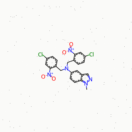 Cn1ncc2cc(N(Cc3ccc(Cl)cc3[N+](=O)[O-])Cc3ccc(Cl)cc3[N+](=O)[O-])ccc21